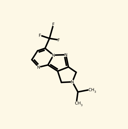 CC(C)N1Cc2nn3c(C(F)(F)F)ccnc3c2C1